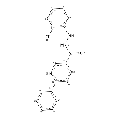 O=C(NNc1ccccc1Cl)c1cnc(-c2ccccc2)nc1